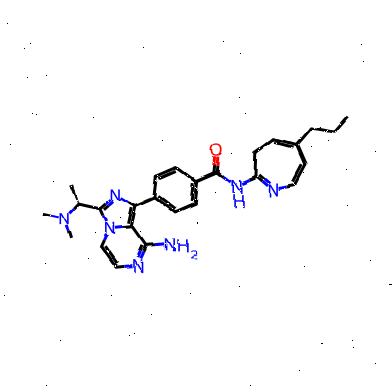 CCCC1=CCC(NC(=O)c2ccc(-c3nc([C@H](C)N(C)C)n4ccnc(N)c34)cc2)=NC=C1